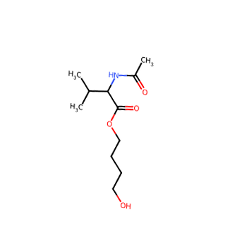 CC(=O)NC(C(=O)OCCCCO)C(C)C